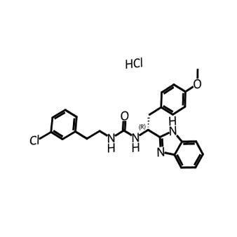 COc1ccc(C[C@@H](NC(=O)NCCc2cccc(Cl)c2)c2nc3ccccc3[nH]2)cc1.Cl